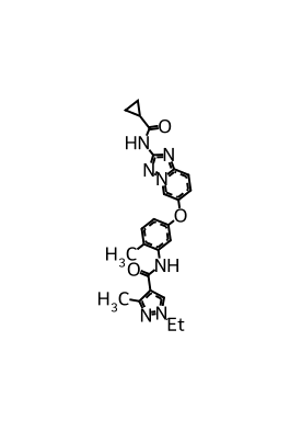 CCn1cc(C(=O)Nc2cc(Oc3ccc4nc(NC(=O)C5CC5)nn4c3)ccc2C)c(C)n1